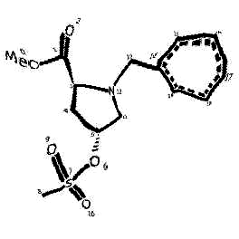 COC(=O)[C@@H]1C[C@@H](OS(C)(=O)=O)CN1Cc1ccccc1